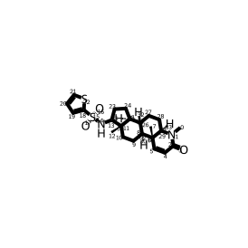 CN1C(=O)C=C[C@]2(C)[C@H]3CC[C@]4(C)C(NS(=O)(=O)c5cccs5)CC[C@H]4[C@@H]3CC[C@@H]12